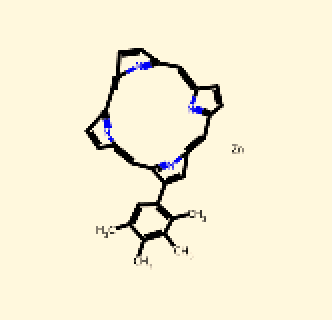 Cc1cc(C2=CC3=CC4=NC(=CC5=NC(=CC6=NC(=CC2=N3)C=C6)C=C5)C=C4)c(C)c(C)c1C.[Zn]